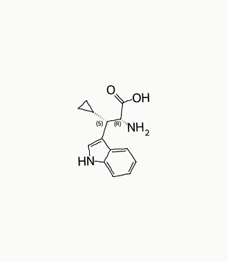 N[C@@H](C(=O)O)[C@H](c1c[nH]c2ccccc12)C1CC1